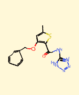 Cc1cc(OCc2ccccc2)c(C(=O)Nc2nnn[nH]2)s1